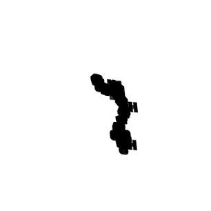 Nc1ncnc2c1c(-c1ccc(Oc3ccccc3)cc1)nn2C1CCC(NC2CCN(C3CN(c4ccc5c(c4)C(=O)N(C4CCC(=O)NC4=O)C5=O)C3)CC2)CC1